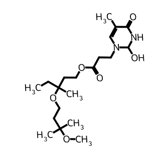 CCC(C)(CCOC(=O)CCN1C=C(C)C(=O)NC1O)OCCC(C)(C)OC